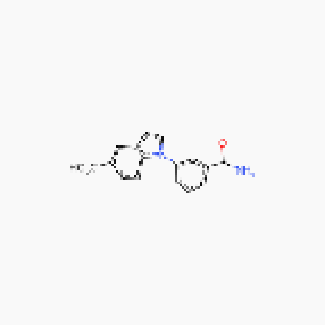 NC(=O)c1cccc(-n2ccc3cc(C(=O)O)ccc32)c1